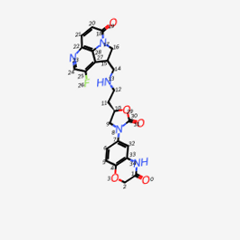 O=C1COc2ccc(N3C[C@@H](CCNCC4Cn5c(=O)ccc6ncc(F)c4c65)OC3=O)cc2N1